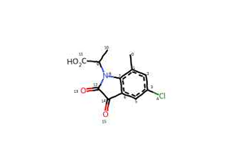 Cc1cc(Cl)cc2c1N(C(C)C(=O)O)C(=O)C2=O